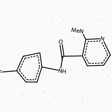 CNc1ncccc1C(=O)Nc1ccc(F)cc1